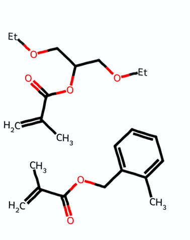 C=C(C)C(=O)OC(COCC)COCC.C=C(C)C(=O)OCc1ccccc1C